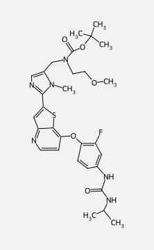 COCCN(Cc1cnc(-c2cc3nccc(Oc4ccc(NC(=O)NC(C)C)cc4F)c3s2)n1C)C(=O)OC(C)(C)C